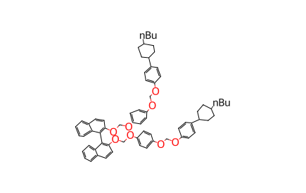 CCCCC1CCC(c2ccc(OCOc3ccc(OCOc4ccc5ccccc5c4-c4c(OCOc5ccc(OCOc6ccc(C7CCC(CCCC)CC7)cc6)cc5)ccc5ccccc45)cc3)cc2)CC1